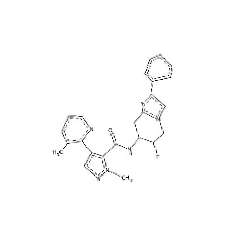 Cc1cccnc1-c1cnn(C)c1C(=O)NC1Cc2nc(-c3ccccc3)cn2CC1F